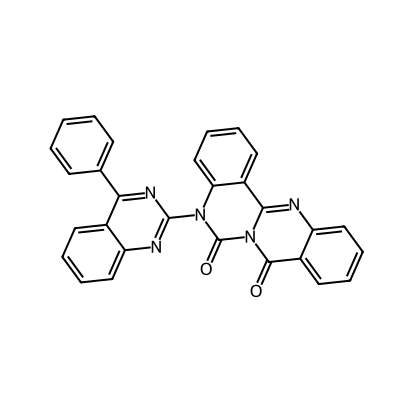 O=c1c2ccccc2nc2c3ccccc3n(-c3nc(-c4ccccc4)c4ccccc4n3)c(=O)n12